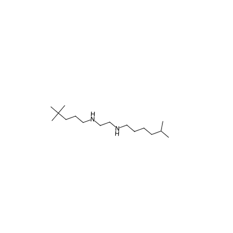 CC(C)CCCCNCCNCCCC(C)(C)C